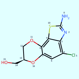 Nc1nc2c(Cl)cc3c(c2s1)OC[C@H](CO)O3